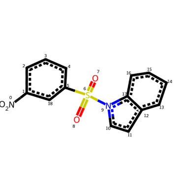 O=[N+]([O-])c1cccc(S(=O)(=O)n2ccc3ccccc32)c1